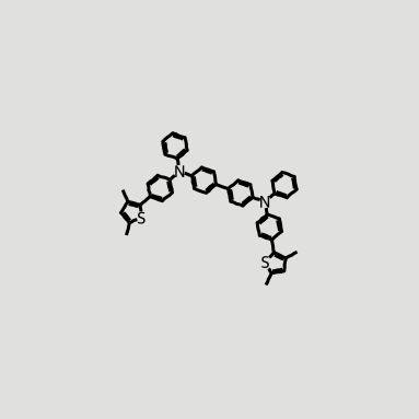 Cc1cc(C)c(-c2ccc(N(c3ccccc3)c3ccc(-c4ccc(N(c5ccccc5)c5ccc(-c6sc(C)cc6C)cc5)cc4)cc3)cc2)s1